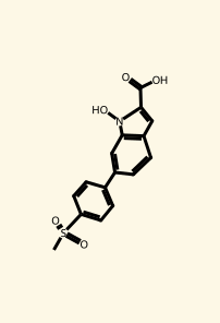 CS(=O)(=O)c1ccc(-c2ccc3cc(C(=O)O)n(O)c3c2)cc1